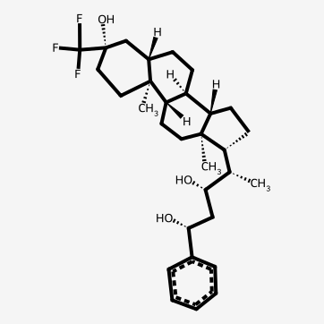 C[C@@H]([C@H]1CC[C@H]2[C@@H]3CC[C@H]4C[C@](O)(C(F)(F)F)CC[C@]4(C)[C@H]3CC[C@]12C)[C@@H](O)C[C@@H](O)c1ccccc1